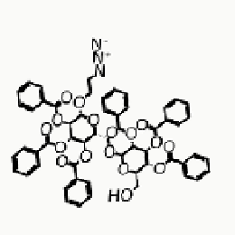 [N-]=[N+]=NCCO[C@@H]1O[C@H](CO[C@@H]2O[C@H](CO)[C@@H](OC(=O)c3ccccc3)[C@H](OC(=O)c3ccccc3)[C@H]2OC(=O)c2ccccc2)[C@@H](OC(=O)c2ccccc2)[C@H](OC(=O)c2ccccc2)[C@H]1OC(=O)c1ccccc1